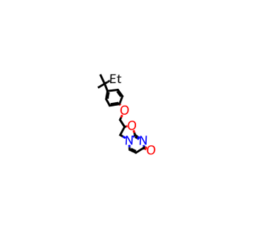 CCC(C)(C)c1ccc(OCC2Cn3ccc(=O)nc3O2)cc1